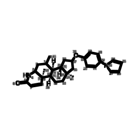 CC1CC2NC(=O)C=C[C@]2(C)[C@@H]2CC[C@]3(C)CC(Oc4ccc(-n5cccc5)cc4)C[C@H]3[C@H]12